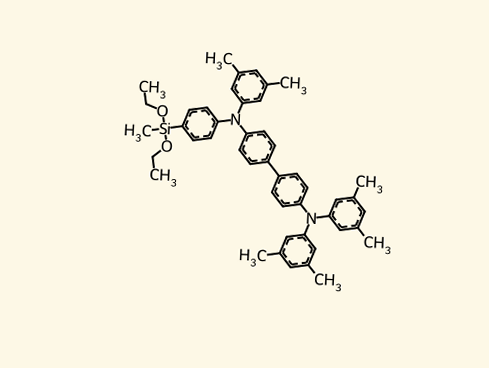 CCO[Si](C)(OCC)c1ccc(N(c2ccc(-c3ccc(N(c4cc(C)cc(C)c4)c4cc(C)cc(C)c4)cc3)cc2)c2cc(C)cc(C)c2)cc1